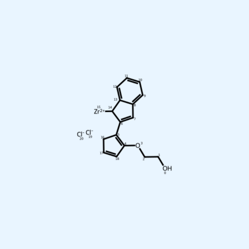 OCCOC1=C(C2=Cc3ccccc3[CH]2[Zr+2])CC=C1.[Cl-].[Cl-]